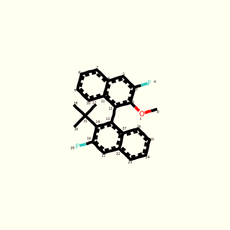 COc1c(F)cc2ccccc2c1-c1c(C(C)(C)C)c(F)cc2ccccc12